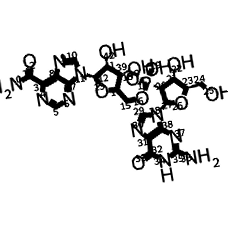 NC(=O)c1ncnc2c1ncn2[C@@H]1OC(COP(=O)(O)[C@@H]2[C@H](O)[C@@H](CO)O[C@H]2n2cnc3c(=O)[nH]c(N)nc32)[C@@H](O)[C@H]1O